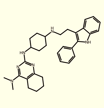 CN(C)c1nc(NC2CCC(NCCc3c(-c4ccccc4)[nH]c4ccccc34)CC2)nc2c1CCCC2